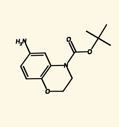 CC(C)(C)OC(=O)N1CCOc2ccc(N)cc21